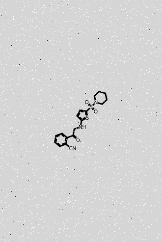 N#Cc1ccccc1C(=O)CNc1ccc(S(=O)(=O)N2CCCCC2)s1